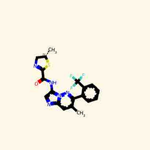 Cc1cc2ncc(NC(=O)C3=NC[C@H](C)S3)n2nc1-c1ccccc1C(F)(F)F